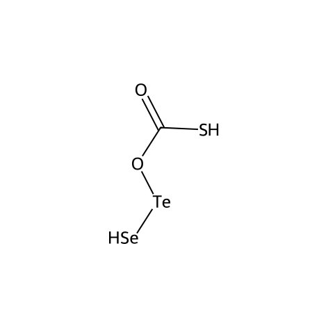 O=C(S)O[Te][SeH]